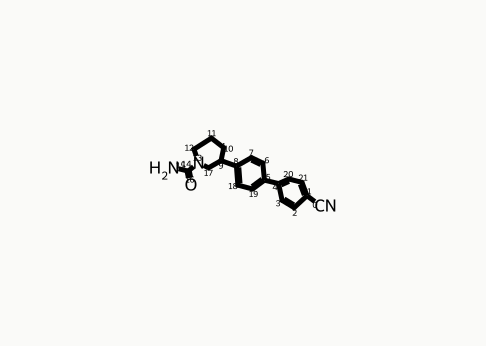 N#Cc1ccc(-c2ccc(C3[CH]CCN(C(N)=O)C3)cc2)cc1